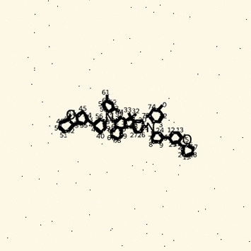 Cc1ccc(N(c2cccc(-c3ccc4oc5ccccc5c4c3)c2)c2ccc3c(c2)C(C)(C)c2cc(N(c4cccc(-c5ccc6oc7ccccc7c6c5)c4)c4ccc(C)cc4C)c4ccccc4c2-3)c(C)c1